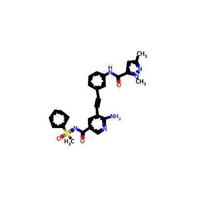 Cc1cc(C(=O)Nc2cccc(C#Cc3cc(C(=O)N=S(C)(=O)c4ccccc4)cnc3N)c2)n(C)n1